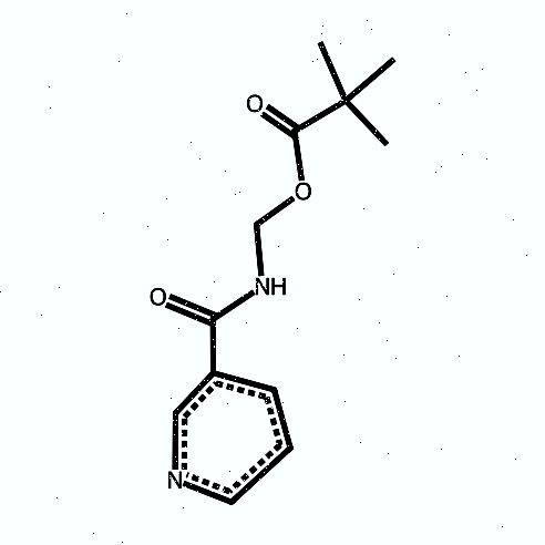 CC(C)(C)C(=O)OCNC(=O)c1cccnc1